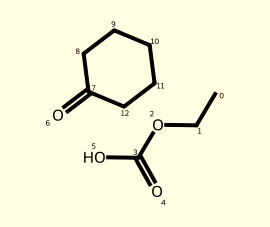 CCOC(=O)O.O=C1CCCCC1